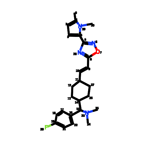 Cc1ccc(-c2noc(C=CC3CCC(C(c4ccc(F)cc4)N(C)C)CC3)n2)n1C